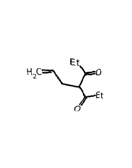 C=CCC(C(=O)CC)C(=O)CC